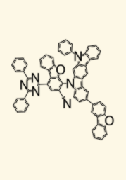 N#Cc1cc(-c2nc(-c3ccccc3)nc(-c3ccccc3)n2)c2c(oc3ccccc32)c1-n1c2ccc(-c3ccc4oc5ccccc5c4c3)cc2c2cc3c4ccccc4n(-c4ccccc4)c3cc21